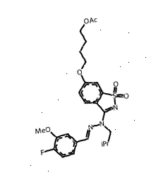 COc1cc(/C=N/N(CC(C)C)C2=NS(=O)(=O)c3cc(OCCCCOC(C)=O)ccc32)ccc1F